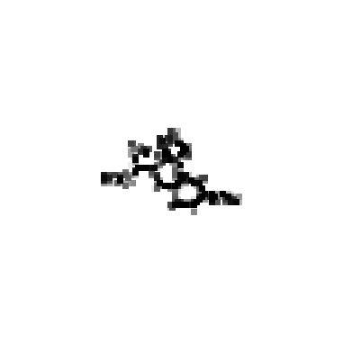 CCC[C@H](C(=O)O)[C@H](Cc1ccc(NC)cn1)c1nnn[nH]1